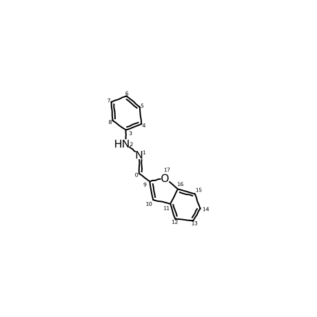 C(=N\Nc1ccccc1)/c1cc2ccccc2o1